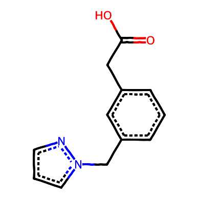 O=C(O)Cc1cccc(Cn2cccn2)c1